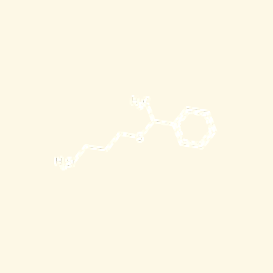 CC(SCCC[SiH3])c1ccccc1